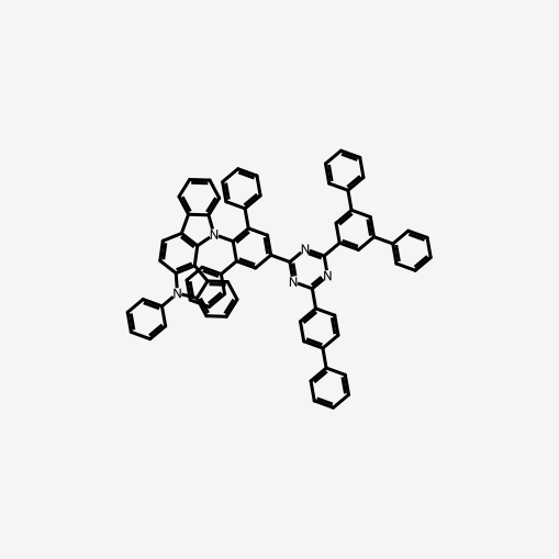 c1ccc(-c2ccc(-c3nc(-c4cc(-c5ccccc5)cc(-c5ccccc5)c4)nc(-c4cc(-c5ccccc5)c(-n5c6ccccc6c6ccc7c(c8ccccc8n7-c7ccccc7)c65)c(-c5ccccc5)c4)n3)cc2)cc1